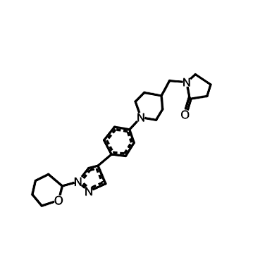 O=C1CCCN1CC1CCN(c2ccc(-c3cnn(C4CCCCO4)c3)cc2)CC1